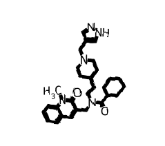 Cn1c(=O)c(CN(CCC2CCN(Cc3cn[nH]c3)CC2)C(=O)C2CCCCC2)cc2ccccc21